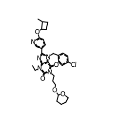 CCn1c(=O)n(CCCOC2CCCCO2)c(=O)c2c1nc(-c1ccc(OC3CCC3C)nc1)n2Cc1ccc(Cl)cc1